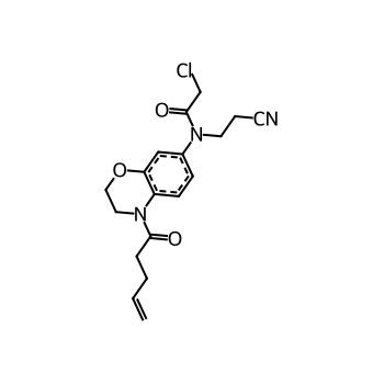 C=CCCC(=O)N1CCOc2cc(N(CCC#N)C(=O)CCl)ccc21